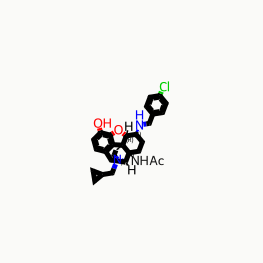 CC(=O)N[C@@]12CC[C@H](NCc3ccc(Cl)cc3)[C@@H]3Oc4c(O)ccc5c4[C@@]31CCN(CC1CC1)[C@@H]2C5